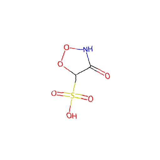 O=C1NOOC1S(=O)(=O)O